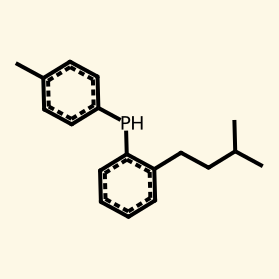 Cc1ccc(Pc2ccccc2CCC(C)C)cc1